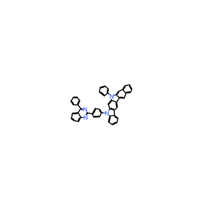 c1ccc(-c2nc(-c3ccc(-n4c5ccccc5c5cc6c7cc8ccccc8cc7n(-c7ccccc7)c6cc54)cc3)nc3ccccc23)cc1